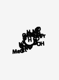 CCn1c(-c2cnccc2COC)c2c3cc(ccc31)-c1cc(O)cc(c1)C[C@H](NC(=O)C(C(C)C)N(C)C(=O)[C@@]1(N)CCOC1)C(=O)N1CCC[C@H](N1)C(=O)OCC(C)(C)C2